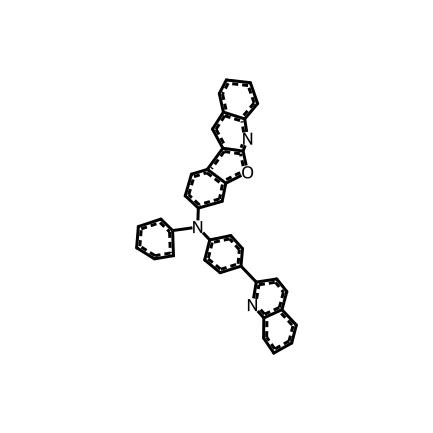 c1ccc(N(c2ccc(-c3ccc4ccccc4n3)cc2)c2ccc3c(c2)oc2nc4ccccc4cc23)cc1